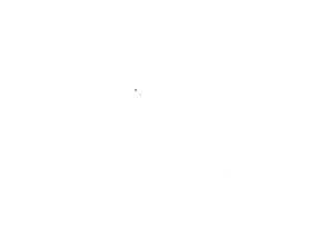 CS(=O)(=O)C1CCN(C(=O)O)C(O)C1